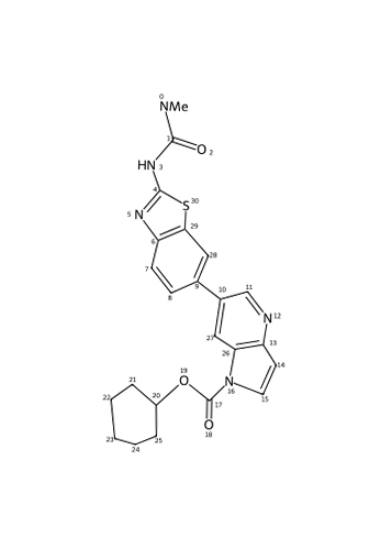 CNC(=O)Nc1nc2ccc(-c3cnc4ccn(C(=O)OC5CCCCC5)c4c3)cc2s1